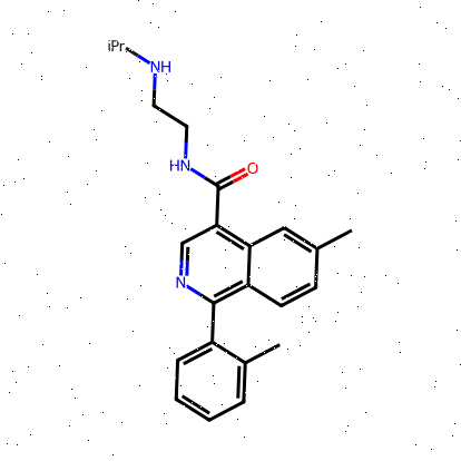 Cc1ccc2c(-c3ccccc3C)ncc(C(=O)NCCNC(C)C)c2c1